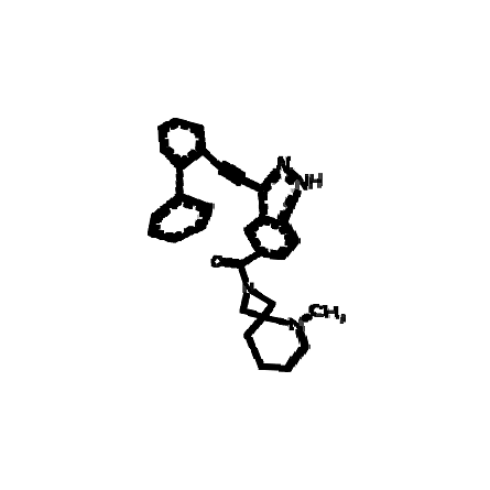 CN1CCCCC12CN(C(=O)c1ccc3[nH]nc(C#Cc4ccccc4-c4ccccc4)c3c1)C2